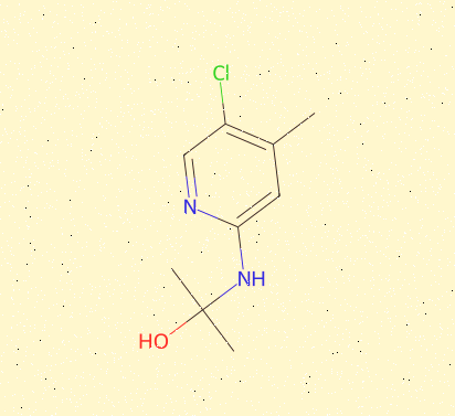 Cc1cc(NC(C)(C)O)ncc1Cl